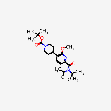 COc1nc(C(=O)N(C(C)C)C(C)C)ccc1C1CCN(C(=O)OC(C)(C)C)CC1